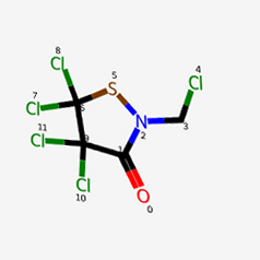 O=C1N(CCl)SC(Cl)(Cl)C1(Cl)Cl